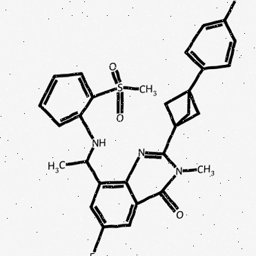 CC(Nc1ccccc1S(C)(=O)=O)c1cc(F)cc2c(=O)n(C)c(C34CC(c5ccc(F)cc5)(C3)C4)nc12